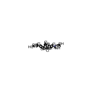 N=N/C(=C\NCC(=O)O)c1cc(O)c(C(=O)c2[nH]c(Cl)c(Cl)c2-n2c(C(=O)c3cc(Cl)c(-c4cn(CC(=O)O)nn4)cc3O)cc(Cl)c2Cl)cc1Cl